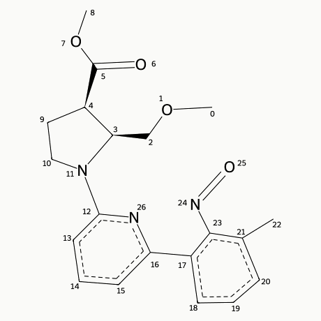 COC[C@@H]1[C@H](C(=O)OC)CCN1c1cccc(-c2cccc(C)c2N=O)n1